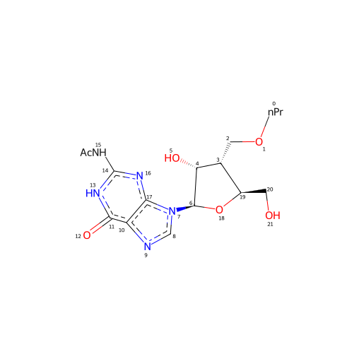 CCCOC[C@H]1[C@@H](O)[C@H](n2cnc3c(=O)[nH]c(NC(C)=O)nc32)O[C@@H]1CO